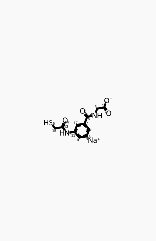 O=C([O-])CNC(=O)c1cccc(NC(=O)CS)c1.[Na+]